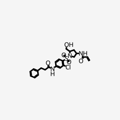 C=CC(=O)NC1CC(CO)N(S(=O)(=O)c2ccc(NC(=O)CCc3ccccc3)cc2Cl)C1